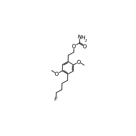 COc1cc(CCOC(N)=O)c(OC)cc1CCCCF